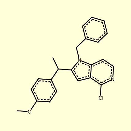 COc1ccc(C(C)c2cc3c(Cl)nccc3n2Cc2ccccc2)cc1